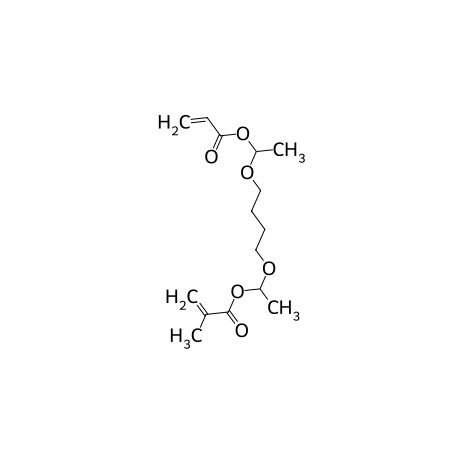 C=CC(=O)OC(C)OCCCCOC(C)OC(=O)C(=C)C